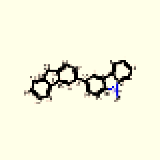 Cn1c2ccccc2c2cc(-c3ccc4c(c3)-c3ccccc3C4)ccc21